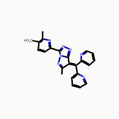 Cc1nc(-c2nnc3c(=C(c4ccccn4)c4ccccn4)c(C)nn23)ccc1C(=O)O